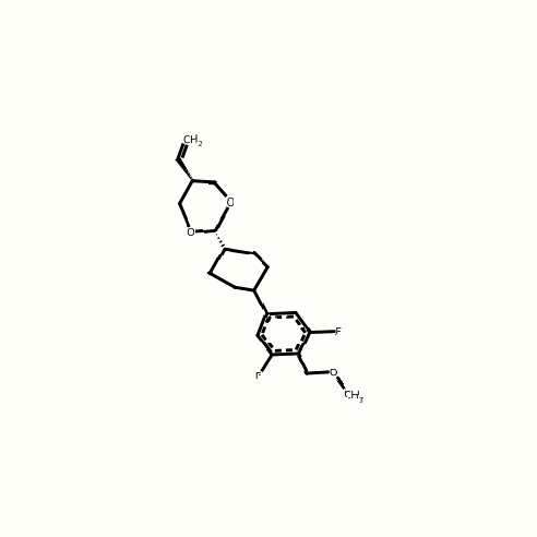 C=C[C@H]1CO[C@H](C2CCC(c3cc(F)c(COC)c(F)c3)CC2)OC1